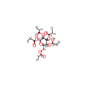 CCC(=O)OC[C@H]1O[C@@H](OC(=O)CC)[C@H](OC(=O)CC)[C@@H](OC(=O)CC)[C@@H]1OC(=O)CC